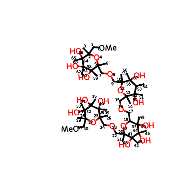 COCC1(C)OC(C)(COCC2(C)OC(C)(COCC3OC(C)(COCC4(C)OC(C)(COC)C(C)(O)C(C)(O)C4(C)O)C(C)(O)C(C)(O)C3(C)O)C(C)(O)C(C)C2(C)O)C(C)(O)C(C)(O)C1(C)O